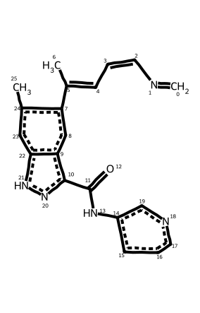 C=N/C=C\C=C(/C)c1cc2c(C(=O)Nc3cccnc3)n[nH]c2cc1C